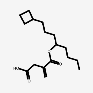 C=C(CC(=O)O)C(=O)OC(CCCC)CCCC1CCC1